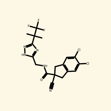 CC(C)(c1n[nH]c(CNC(=O)C2(C#N)Cc3cc(Cl)c(Cl)cc3C2)n1)C(F)(F)F